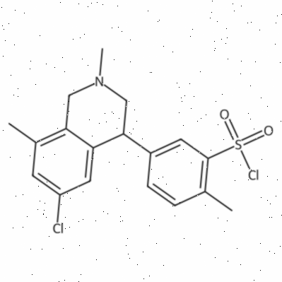 Cc1ccc(C2CN(C)Cc3c(C)cc(Cl)cc32)cc1S(=O)(=O)Cl